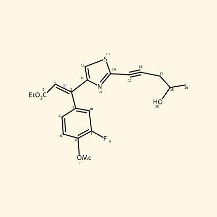 CCOC(=O)/C=C(\c1ccc(OC)c(F)c1)c1csc(C#CCC(C)O)n1